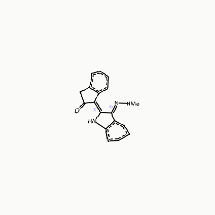 CN/N=C1/C(=C2/C(=O)Cc3ccccc32)Nc2ccccc21